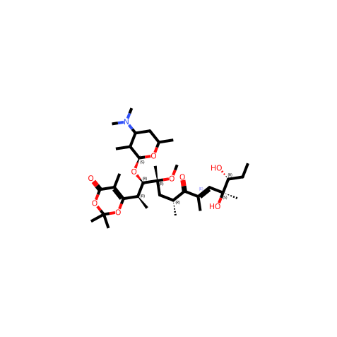 CC[C@@H](O)[C@@](C)(O)/C=C(\C)C(=O)[C@H](C)C[C@@](C)(OC)[C@H](O[C@@H]1OC(C)CC(N(C)C)C1C)[C@@H](C)C1=C(C)C(=O)OC(C)(C)O1